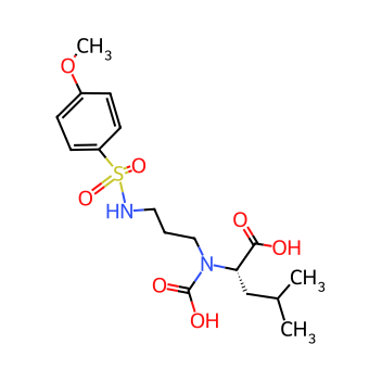 COc1ccc(S(=O)(=O)NCCCN(C(=O)O)[C@@H](CC(C)C)C(=O)O)cc1